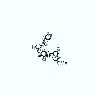 COc1cnc2c(-c3nc4c(Cl)c(F)c(O[C@@H](C)COC(=O)Nc5ccncc5)cc4s3)cc(Cl)cc2c1